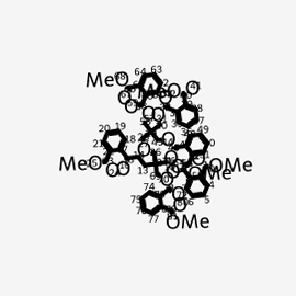 COC(=O)c1ccccc1COCC(CCC(=O)c1ccccc1C(=O)OC)(COCC(COC(=O)c1ccccc1C(=O)OC)(COC(=O)c1ccccc1C(=O)OC)COC(=O)c1ccccc1C(=O)OC)COC(=O)c1ccccc1C(=O)OC